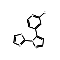 Clc1cc(-c2ccnn2-c2nccs2)ccn1